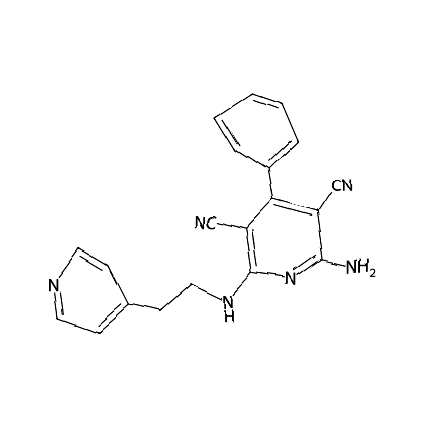 N#Cc1c(N)nc(NCCc2ccncc2)c(C#N)c1-c1ccccc1